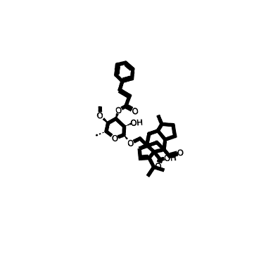 CO[C@H]1[C@@H](OC(=O)/C=C/c2ccccc2)[C@H](O)[C@H](OCC23CC4C(C)CCC4C4(C=O)CC2C=C(C(C)C)C43C(=O)O)O[C@@H]1C